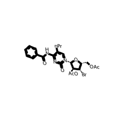 CCCc1cn([C@@H]2O[C@H](COC(C)=O)[C@H](Br)[C@H]2OC(C)=O)c(=O)nc1NC(=O)c1ccccc1